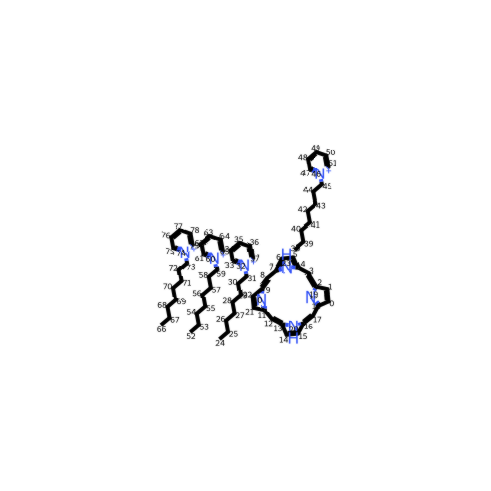 C1=Cc2cc3ccc(cc4nc(cc5ccc(cc1n2)[nH]5)C=C4)[nH]3.CCCCCCCC[n+]1ccccc1.CCCCCCCC[n+]1ccccc1.CCCCCCCC[n+]1ccccc1.CCCCCCCC[n+]1ccccc1